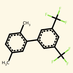 Cc1ccc(C)c(-c2cc(C(F)(F)F)cc(C(F)(F)F)c2)c1